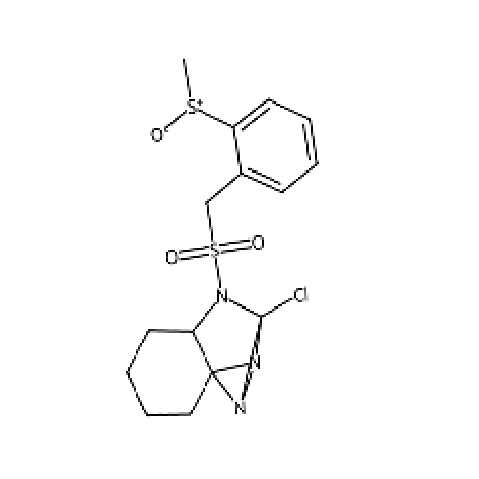 C[S+]([O-])c1ccccc1CS(=O)(=O)N1C2CCCCC23N2N3C21Cl